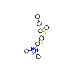 c1ccc(-c2ccc(-c3ccc(-c4ccc5sc6cc(-c7nc(-c8ccccc8)nc(-c8ccccc8)n7)ccc6c5c4)c4sc5ccccc5c34)cc2)cc1